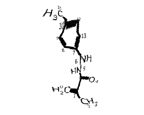 C=C(C)C(=O)NNc1ccc(C)cc1